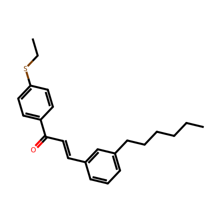 CCCCCCc1cccc(C=CC(=O)c2ccc(SCC)cc2)c1